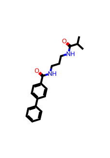 CC(C)C(=O)NCCCNC(=O)c1ccc(-c2ccccc2)cc1